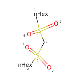 CCCCCCS(=O)(=O)CS(=O)(=O)CCCCCC